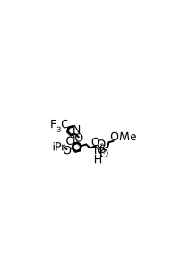 COCCCS(=O)(=O)NC(=O)CCc1ccc(OC(C)C)cc1Oc1ncc(C(F)(F)F)cc1Cl